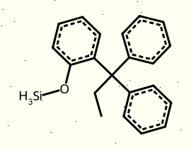 CCC(c1ccccc1)(c1ccccc1)c1ccccc1O[SiH3]